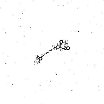 CCc1cccc(N(CC)C(=O)Cn2c(C(=O)NC3CCC(C(=O)NCCCCCCCCOc4ccc([N+](=O)[O-])c5nonc45)CC3)cc3ccccc32)c1